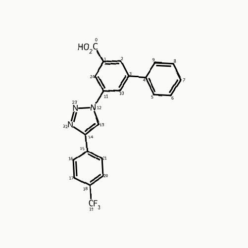 O=C(O)c1cc(-c2ccccc2)cc(-n2cc(-c3ccc(C(F)(F)F)cc3)nn2)c1